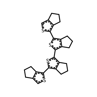 c1sc(-c2sc(-c3sc(-c4scc5c4CCC5)c4c3CCC4)c3c2CCC3)c2c1CCC2